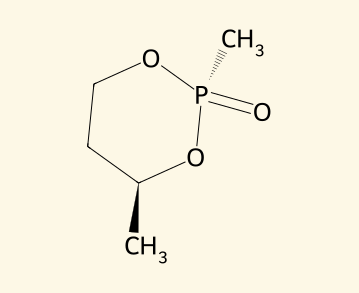 C[C@H]1CCO[P@@](C)(=O)O1